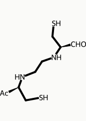 CC(=O)[C@H](CS)NCCN[C@H](C=O)CS